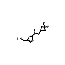 NCc1cnc(NCC2CC(F)(F)C2)s1